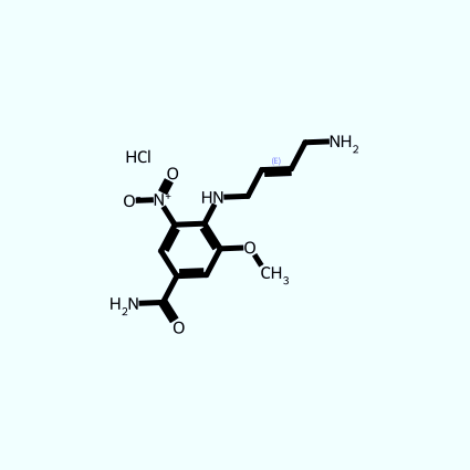 COc1cc(C(N)=O)cc([N+](=O)[O-])c1NC/C=C/CN.Cl